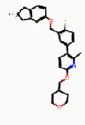 Cc1nc(OCC2CCOCC2)ccc1-c1ccc(F)c(COc2ccc3c(c2)C[C@H](C)C3)c1